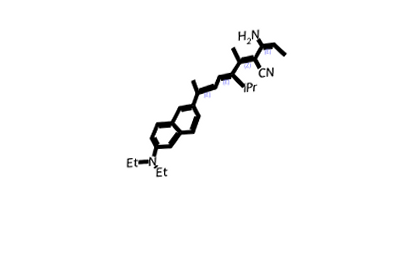 C\C=C(N)/C(C#N)=C(C)/C(=C/C=C(\C)c1ccc2cc(N(CC)CC)ccc2c1)C(C)C